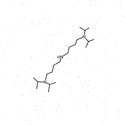 CC(C)N(CCCCNCCCCN(C(C)C)C(C)C)C(C)C